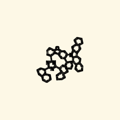 c1ccc(-c2cc3c(cc2-n2c4cc5ccccc5cc4c4cc5ccccc5cc42)oc2cccc(-c4nc(-c5cccc6ccccc56)nc(-c5cccc6ccccc56)n4)c23)cc1